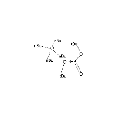 CC(C)(C)O[PH](=O)OC(C)(C)C.CCCC[N+](CCCC)(CCCC)CCCC